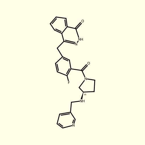 O=C(c1cc(Cc2n[nH]c(=O)c3ccccc23)ccc1F)N1CC[C@@H](NCc2cccnc2)C1